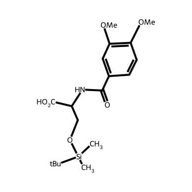 COc1ccc(C(=O)NC(CO[Si](C)(C)C(C)(C)C)C(=O)O)cc1OC